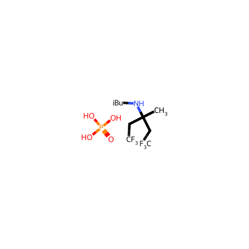 CCC(C)NC(C)(CC(F)(F)F)CC(F)(F)F.O=P(O)(O)O